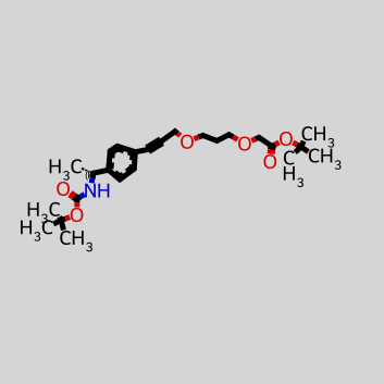 C[C@@H](NC(=O)OC(C)(C)C)c1ccc(C#CCOCCCOCC(=O)OC(C)(C)C)cc1